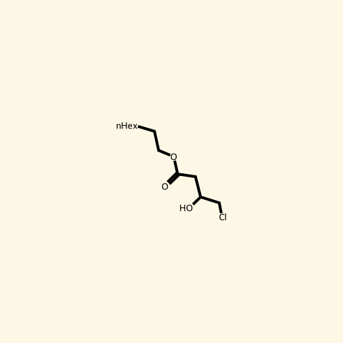 CCCCCCCCOC(=O)CC(O)CCl